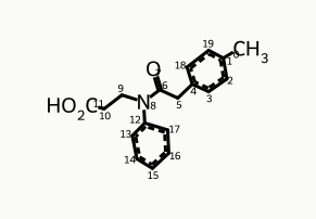 Cc1ccc(CC(=O)N(CCC(=O)O)c2ccccc2)cc1